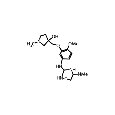 CNC1CCNC(Nc2ccc(OC)c(OCC3(O)CCN(C)C3)c2)N1